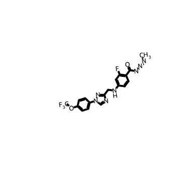 CN=[N+]=NC(=O)c1ccc(NCc2ncn(-c3ccc(OC(F)(F)F)cc3)n2)cc1F